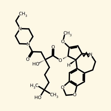 CCN1CCN(C(=O)C[C@](O)(CCCC(C)(C)O)C(=O)O[C@@H]2C(OC)=C[C@]34CCCN3CCc3cc5c(cc3[C@H]24)OCO5)CC1